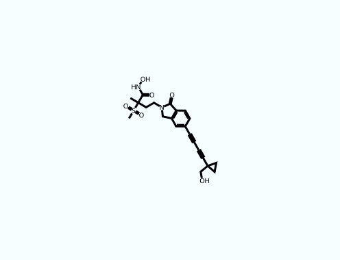 CC(CCN1Cc2cc(C#CC#CC3(CO)CC3)ccc2C1=O)(C(=O)NO)S(C)(=O)=O